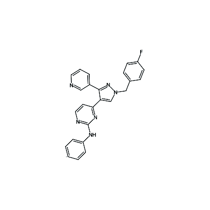 Fc1ccc(Cn2cc(-c3ccnc(Nc4cc[c]cc4)n3)c(-c3cccnc3)n2)cc1